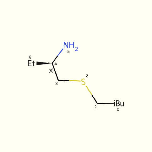 CCC(C)CSC[C@H](N)CC